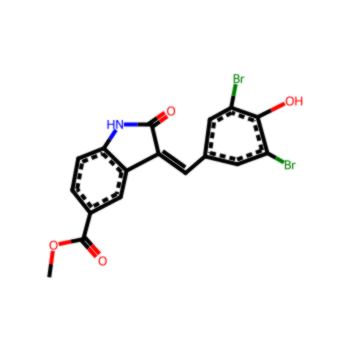 COC(=O)c1ccc2c(c1)/C(=C/c1cc(Br)c(O)c(Br)c1)C(=O)N2